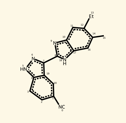 [C-]#[N+]c1ccc2[nH]nc(-c3nc4cc(CC)c(C)cc4[nH]3)c2c1